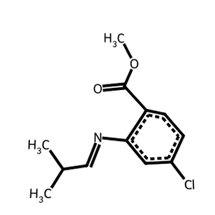 COC(=O)c1ccc(Cl)cc1N=CC(C)C